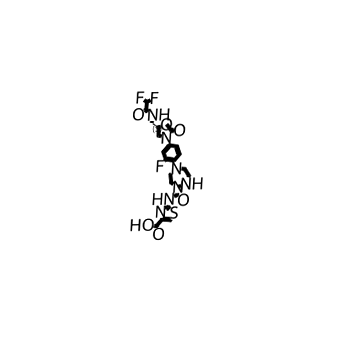 O=C(O)c1csc(NC(=O)N2CCN(c3ccc(N4C[C@H](CNC(=O)C(F)F)OC4=O)cc3F)CCN2)n1